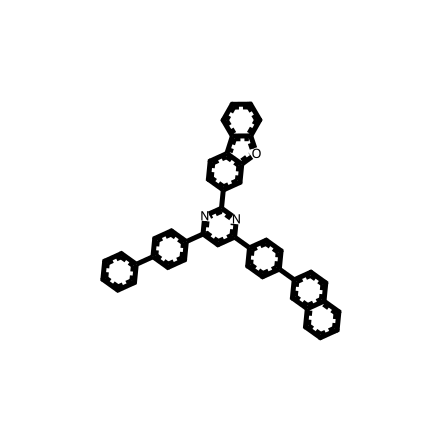 c1ccc(-c2ccc(-c3cc(-c4ccc(-c5ccc6ccccc6c5)cc4)nc(-c4ccc5c(c4)oc4ccccc45)n3)cc2)cc1